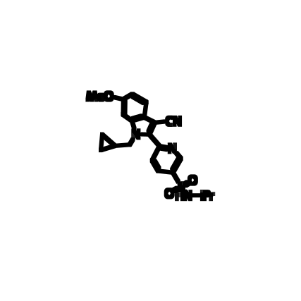 COc1ccc2c(C#N)c(-c3ccc(S(=O)(=O)NC(C)C)cn3)n(CC3CC3)c2c1